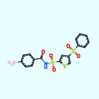 Bc1ccc(C(=O)NS(=O)(=O)c2cc(S(=O)(=O)c3ccccc3)cs2)cc1